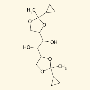 CC1(C2CC2)OCC(C(O)C(O)C2COC(C)(C3CC3)O2)O1